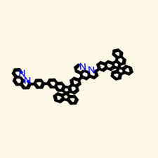 c1ccc2c(c1)-c1ccccc1C21c2cc3cc(-c4ccc5cc(-c6ccc7c8c(ccc7c6)C6(c7ccccc7-c7ccccc76)c6cc7cc(-c9ccc(-c%10ccc%11ccc%12cccnc%12c%11n%10)cc9)ccc7cc6-8)c6cccnc6c5n4)ccc3cc2-c2c1ccc1ccccc21